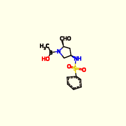 CB(O)N1C[C@H](NS(=O)(=O)c2ccccc2)C[C@@H]1C=O